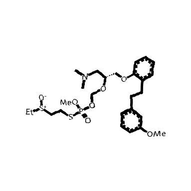 CC[S+]([O-])CCSP(=O)(OC)OCO[C@@H](COc1ccccc1CCc1cccc(OC)c1)CN(C)C